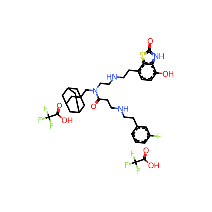 O=C(CCNCCc1cccc(F)c1)N(CCNCCc1ccc(O)c2[nH]c(=O)sc12)CC12CC3CC(CC(C3)C1)C2.O=C(O)C(F)(F)F.O=C(O)C(F)(F)F